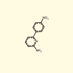 Nc1cccc(-c2ccc([N+](=O)[O-])cc2)n1